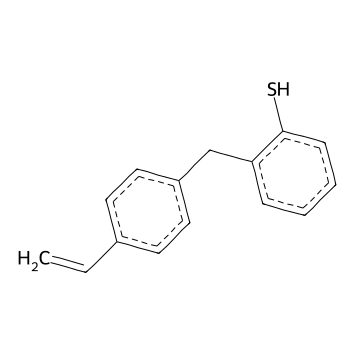 C=Cc1ccc(Cc2ccccc2S)cc1